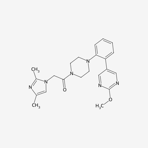 COc1ncc(-c2ccccc2N2CCN(C(=O)Cn3cc(C)nc3C)CC2)cn1